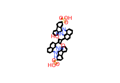 O=C1C(c2ccc3cccc4c3c2NC2(N4)c3ccccc3-c3ccc(S(=O)(=O)O)cc32)=C(O)/C1=c1/ccc2cccc3c2c1NC1(N=3)c2ccccc2-c2ccc(S(=O)(=O)O)cc21